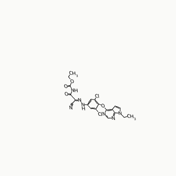 CCOC(=O)NC(=O)/C(C#N)=N/Nc1cc(Cl)c(Oc2ncnc3c2ccn3CC)c(Cl)c1